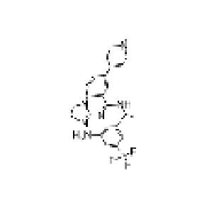 CC(NC1=NC2=NCCN2c2ccc(C3=CCN(C)CC3)cc21)c1cc(N)cc(C(F)(F)F)c1